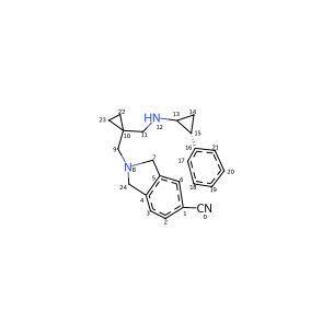 N#Cc1ccc2c(c1)CN(CC1(CNC3C[C@@H]3c3ccccc3)CC1)C2